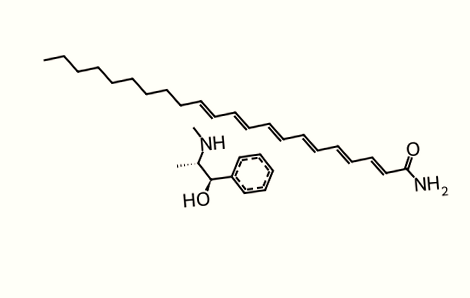 CCCCCCCCC/C=C/C=C/C=C/C=C/C=C/C=C/C(N)=O.CN[C@@H](C)[C@H](O)c1ccccc1